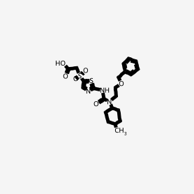 CC1CCC(N(CCOCc2ccccc2)C(=O)Nc2ncc(S(=O)(=O)CC(=O)O)s2)CC1